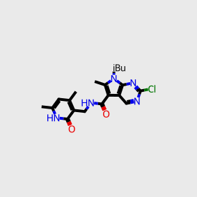 CCC(C)n1c(C)c(C(=O)NCc2c(C)cc(C)[nH]c2=O)c2cnc(Cl)nc21